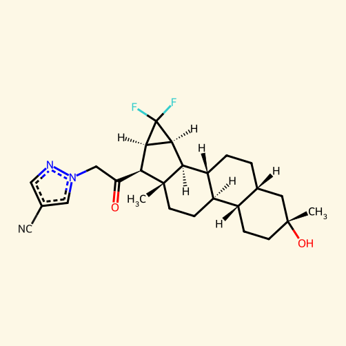 C[C@@]1(O)CC[C@H]2[C@H](CC[C@@H]3[C@@H]2CC[C@@]2(C)[C@H]3[C@H]3[C@@H]([C@@H]2C(=O)Cn2cc(C#N)cn2)C3(F)F)C1